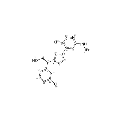 CC(C)Nc1cc(-c2ccn([C@H](CO)c3cccc(Cl)c3)c2)c(Cl)cn1